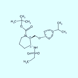 CCS(=O)(=O)N[C@@H]1CCCN(C(=O)OC(C)(C)C)[C@H]1COc1ccc(C(C)C)cc1